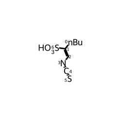 CCCCC(=CN=C=S)S(=O)(=O)O